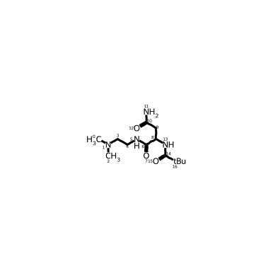 CN(C)CCNC(=O)C(CC(N)=O)NC(=O)C(C)(C)C